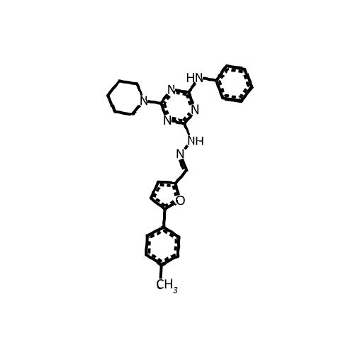 Cc1ccc(-c2ccc(/C=N/Nc3nc(Nc4ccccc4)nc(N4CCCCC4)n3)o2)cc1